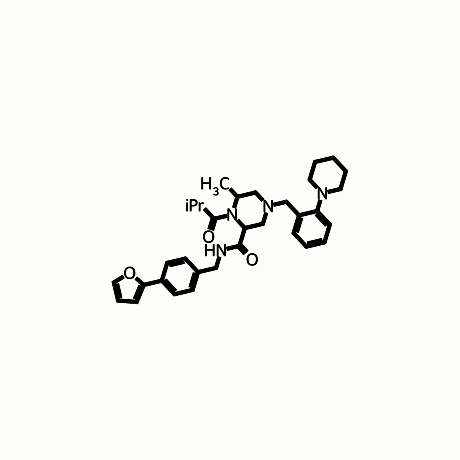 CC(C)C(=O)N1C(C)CN(Cc2ccccc2N2CCCCC2)CC1C(=O)NCc1ccc(-c2ccco2)cc1